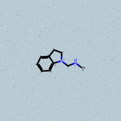 CC(C)NCN1CCc2ccccc21